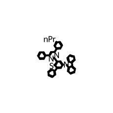 CCCc1cccc(-c2cc(-c3ccccc3)nc(-c3cc(-n4c5ccccc5c5ccccc54)cc4c3sc3ccccc34)n2)c1